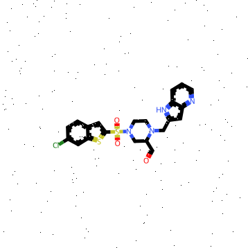 O=CC1CN(S(=O)(=O)c2cc3ccc(Cl)cc3s2)CCN1Cc1cc2ncccc2[nH]1